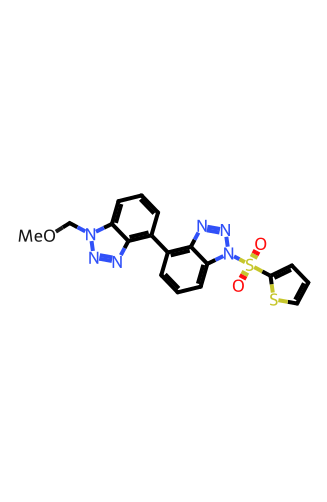 COCn1nnc2c(-c3cccc4c3nnn4S(=O)(=O)c3cccs3)cccc21